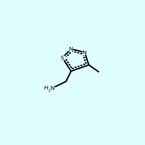 Cc1nnsc1CN